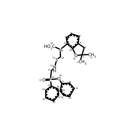 CC1(C)Cc2cccc(N(CSNCP(=O)(Oc3ccccc3)c3ccccc3)C(=O)O)c2O1